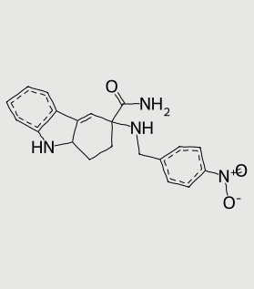 NC(=O)C1(NCc2ccc([N+](=O)[O-])cc2)C=C2c3ccccc3NC2CC1